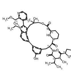 CCn1c(-c2cccnc2[C@H](C)OC)c2c3cc(ccc31)-c1cc(O)cc(c1)C[C@H](NC(=O)[C@H](C(C)C)N(C)C(=O)[C@H]1CCCO1)C(=O)N1CCC[C@H](N1)C(=O)OCC(C)(C)C2